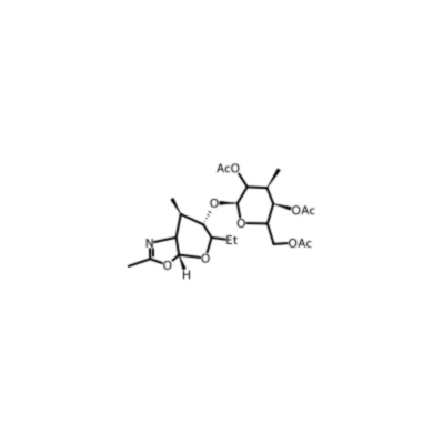 CCC1O[C@@H]2OC(C)=NC2[C@@H](C)[C@@H]1O[C@@H]1OC(COC(C)=O)[C@H](OC(C)=O)[C@H](C)C1OC(C)=O